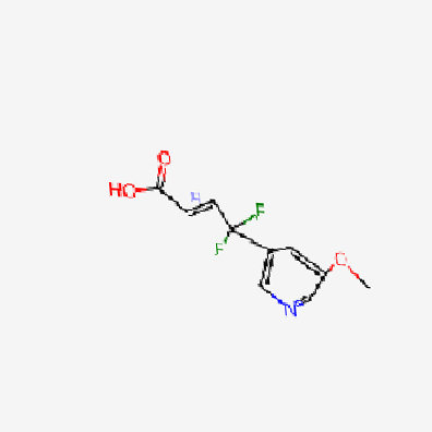 COc1cncc(C(F)(F)/C=C/C(=O)O)c1